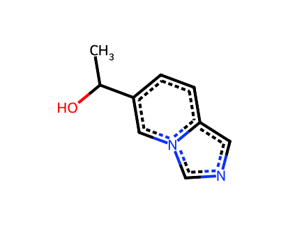 CC(O)c1ccc2cncn2c1